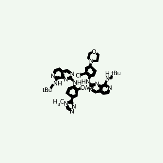 CC(C)(C)CNc1nccc2cnc(Nc3ccc(N4CCOCC4)cc3Cl)nc12.COc1cc(-c2nncn2C)ccc1Nc1ncc2ccnc(NCC(C)(C)C)c2n1